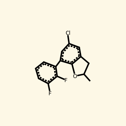 CC1Cc2cc(Cl)cc(-c3cccc(F)c3F)c2O1